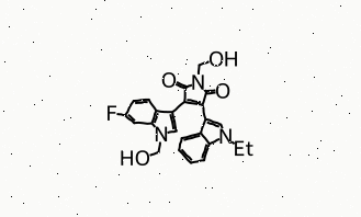 CCn1cc(C2=C(c3cn(CO)c4cc(F)ccc34)C(=O)N(CO)C2=O)c2ccccc21